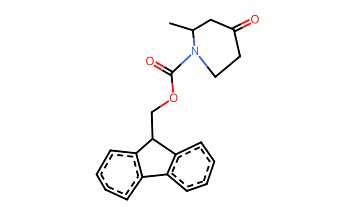 CC1CC(=O)CCN1C(=O)OCC1c2ccccc2-c2ccccc21